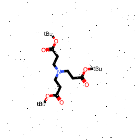 CC(C)(C)OC(=O)CCN(CCC(=O)OC(C)(C)C)CCC(=O)OC(C)(C)C